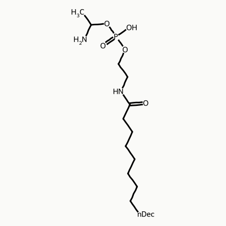 CCCCCCCCCCCCCCCCCC(=O)NCCOP(=O)(O)OC(C)N